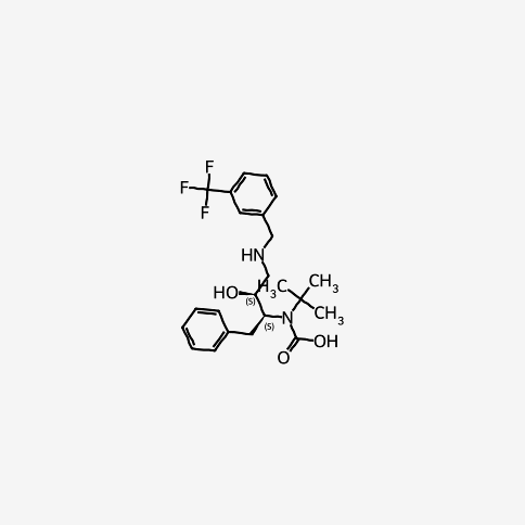 CC(C)(C)N(C(=O)O)[C@@H](Cc1ccccc1)[C@@H](O)CNCc1cccc(C(F)(F)F)c1